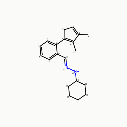 CC1=CCC(c2ccccc2/C=N/NC2CCCCC2)=C1C